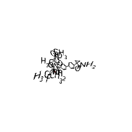 C[C@H]1CN(S(C)(=O)=O)CC(=O)[C@H]1N(C(=O)[C@@H](N)CC(C)(C)F)[C@@H](c1ccc(-c2ccc(C3(C(N)=O)CC3)cc2)cc1)C(F)F